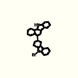 CCn1c2ccccc2c2cc(-c3cc4c5ccccc5[nH]c4c4ccccc34)ccc21